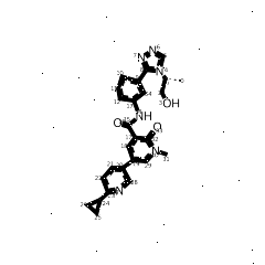 C[C@H](CO)n1cnnc1-c1cccc(NC(=O)c2cc(-c3ccc(C4CC4)nc3)cn(C)c2=O)c1